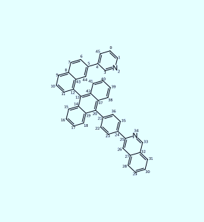 c1cncc(-c2ccc3cccc(-c4c5ccccc5c(-c5ccc(-c6cc7ccccc7cn6)cc5)c5ccccc45)c3c2)c1